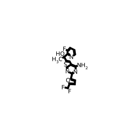 CC(O)(c1cc2c(N)nc(-c3ccc(C(F)F)o3)nc2s1)c1ncccc1F